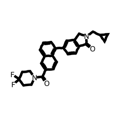 O=C(c1ccc2c(-c3ccc4c(c3)CN(CC3CC3)C4=O)cccc2c1)N1CCC(F)(F)CC1